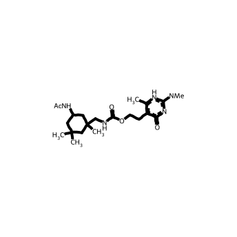 CNc1nc(=O)c(CCOC(=O)NCC2(C)CC(NC(C)=O)CC(C)(C)C2)c(C)[nH]1